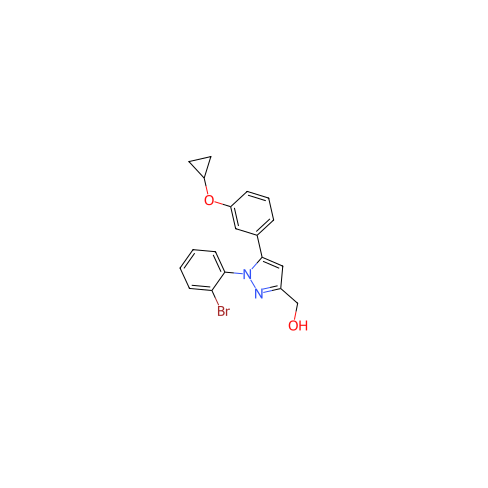 OCc1cc(-c2cccc(OC3CC3)c2)n(-c2ccccc2Br)n1